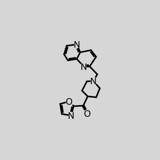 O=C(c1ncco1)C1CCN(Cc2ccc3ncccc3n2)CC1